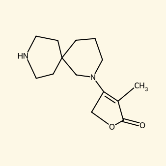 CC1=C(N2CCCC3(CCNCC3)C2)COC1=O